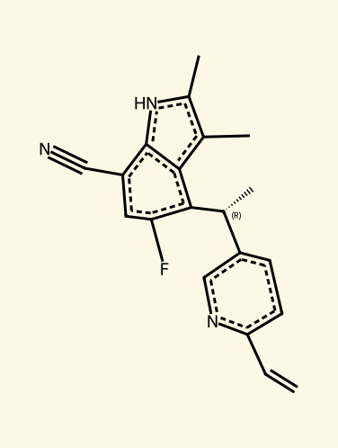 C=Cc1ccc([C@@H](C)c2c(F)cc(C#N)c3[nH]c(C)c(C)c23)cn1